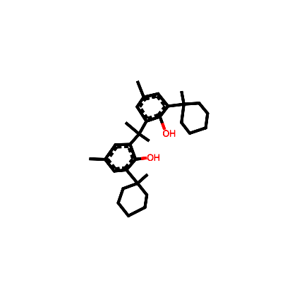 Cc1cc(C2(C)CCCCC2)c(O)c(C(C)(C)c2cc(C)cc(C3(C)CCCCC3)c2O)c1